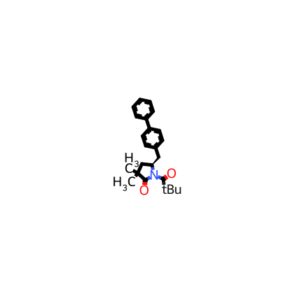 CC(C)(C)C(=O)N1C(=O)C(C)(C)C[C@H]1Cc1ccc(-c2ccccc2)cc1